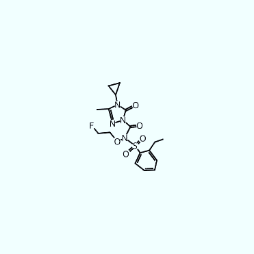 CCc1ccccc1S(=O)(=O)N(OCCF)C(=O)n1nc(C)n(C2CC2)c1=O